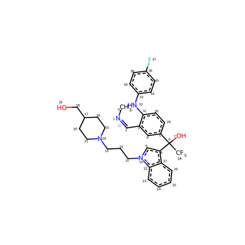 C/N=C\c1cc(C(O)(c2cn(CCCN3CCC(CO)CC3)c3ccccc23)C(F)(F)F)ccc1Nc1ccc(F)cc1